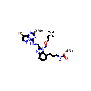 CSc1nc(NCc2nc3cccc(CCCNC(=O)OC(C)(C)C)c3n2COCC[Si](C)(C)C)n2ncc(Br)c2n1